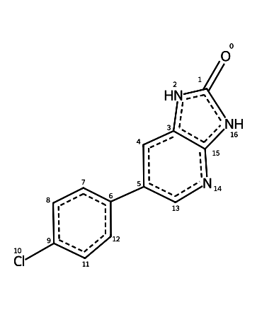 O=c1[nH]c2cc(-c3ccc(Cl)cc3)cnc2[nH]1